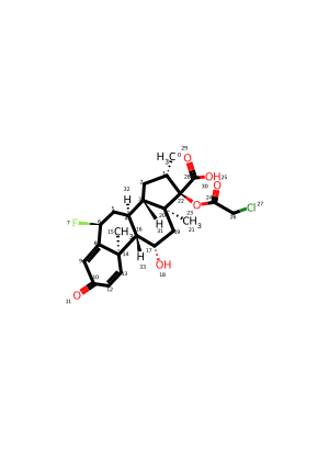 C[C@H]1C[C@H]2[C@@H]3C[C@H](F)C4=CC(=O)C=C[C@]4(C)[C@H]3[C@@H](O)C[C@]2(C)[C@@]1(OC(=O)CCl)C(=O)O